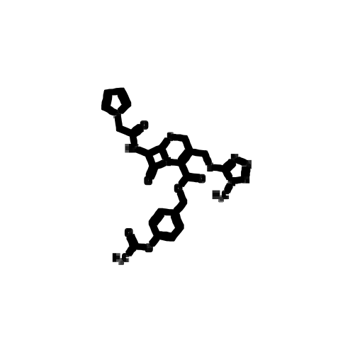 CC(=O)Oc1ccc(COC(=O)C2=C(CSc3nnnn3C)CSC3C(NC(=O)Cn4cccc4)C(=O)N23)cc1